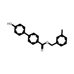 Cc1cccc(COC(=O)c2ccc(-c3ccc(O)cc3)cc2)c1